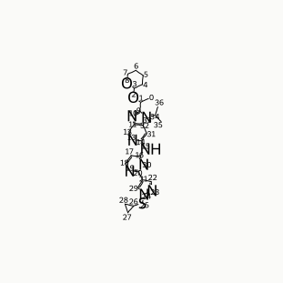 CC(OC1CCCCO1)c1nc2cnc(Nc3ccnc(-c4cnn(SC5CC5)c4)n3)cc2n1C(C)C